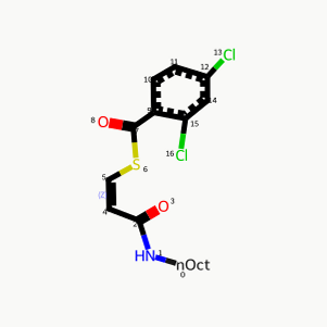 CCCCCCCCNC(=O)/C=C\SC(=O)c1ccc(Cl)cc1Cl